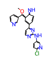 CO/C(=C1/C=C(c2ccnc(Nc3ccc(Cl)nc3)n2)C=CC1=N)c1cccnc1